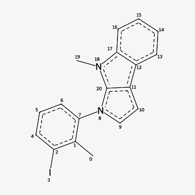 Cc1c(I)cccc1-n1ccc2c3ccccc3n(C)c21